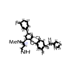 CN/C(=C\C=N)c1cc(-c2cccc(F)c2)ncc1Oc1cc(F)c(SNc2cscn2)cc1Cl